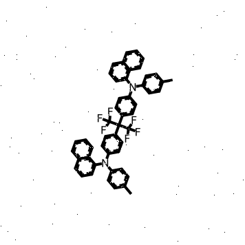 Cc1ccc(N(c2ccc(C(c3ccc(N(c4ccc(C)cc4)c4cccc5ccccc45)cc3)(C(F)(F)F)C(F)(F)F)cc2)c2cccc3ccccc23)cc1